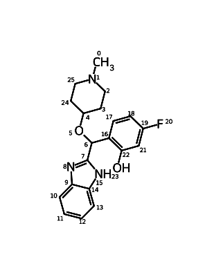 CN1CCC(OC(c2nc3ccccc3[nH]2)c2ccc(F)cc2O)CC1